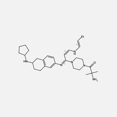 CC/C=C/N/C=C\C(=N/c1ccc2c(c1)CCC(NC1CCCC1)C2)N1CCN(C(=O)C(C)(C)N)CC1